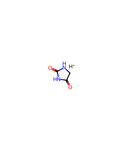 O=C1CNC(=O)N1.[H+]